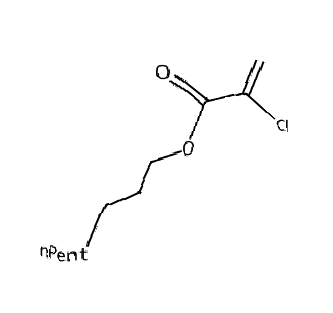 C=C(Cl)C(=O)OCCCCCCCC